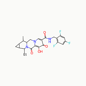 CCC1C2CC2C(C)C2Cn3cc(C(=O)NCc4c(F)cc(F)cc4F)c(=O)c(O)c3C(=O)N21